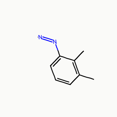 Cc1cccc(N=[N])c1C